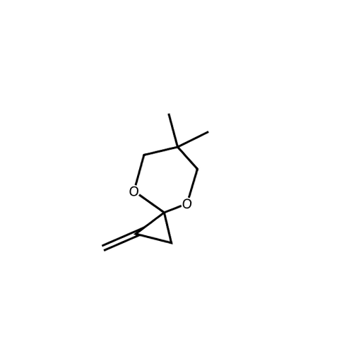 C=C1CC12OCC(C)(C)CO2